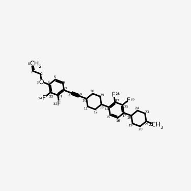 C=CCOc1ccc(C#CC2CCC(c3ccc(C4CCC(C)CC4)c(F)c3F)CC2)c(F)c1F